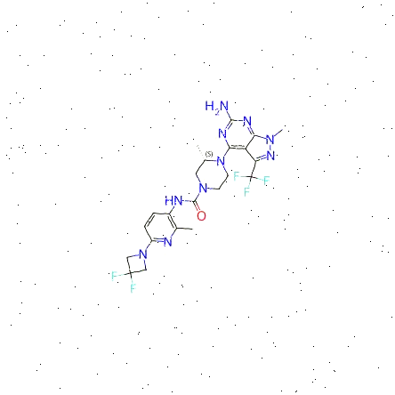 Cc1nc(N2CC(F)(F)C2)ccc1NC(=O)N1CCN(c2nc(N)nc3c2c(C(F)(F)F)nn3C)[C@@H](C)C1